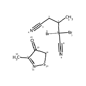 CC(CC#N)C(Br)(Br)C#N.CC1=NSCC1=O